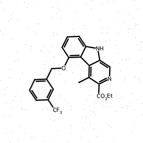 CCOC(=O)c1ncc2[nH]c3cccc(OCc4cccc(C(F)(F)F)c4)c3c2c1C